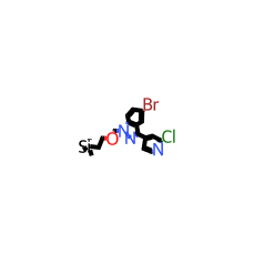 C[Si](C)(C)CCOCn1nc(-c2ccnc(Cl)c2)c2cc(Br)ccc21